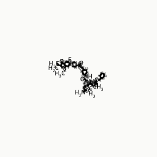 C=C(C)c1cn(CC)c2cc(N3CCN(C(=O)OCc4ccc(NC(=O)[C@H](CSCC(N)=O)NC(=O)[C@@H](NC(=O)OCc5ccccc5)C(C)C)cc4)CC3)c(F)cc2c1=O